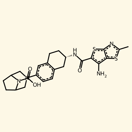 Cc1nc2sc(C(=O)N[C@H]3CCc4cc(N5CC6CCC(C5)N6C(=O)O)ccc4C3)c(N)c2s1